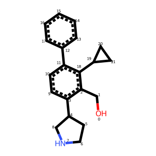 OCc1c(C2CCNC2)ccc(-c2ccccc2)c1C1CC1